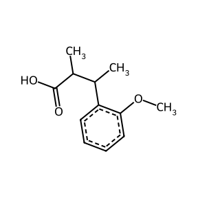 COc1ccccc1C(C)C(C)C(=O)O